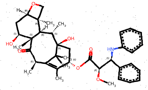 CO[C@@H](C(=O)O[C@H]1C[C@@]2(O)[C@@H](C)[C@@H]3[C@]4(C)CO[C@@H]4C[C@H](O)[C@@]3(C)C(=O)[C@H](C)C(=C1C)C2(C)C)[C@@H](Nc1ccccc1)c1ccccc1